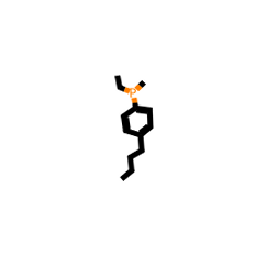 CCCCc1ccc(P(C)CC)cc1